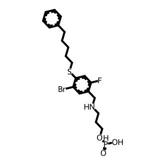 O=[PH](O)OCCCNCc1cc(Br)c(SCCCCCc2ccccc2)cc1F